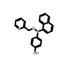 Oc1ccc(B(OCc2ccccn2)c2cccc3ccccc23)cc1